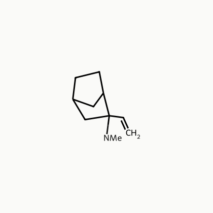 C=CC1(NC)CC2CCC1C2